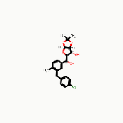 Cc1ccc([C@H](O)C2O[C@H]3OC(C)(C)O[C@H]3[C@@H]2O)cc1Cc1ccc(Cl)cc1